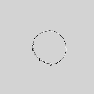 C1CCCCCCSSSSSSCCCCC1